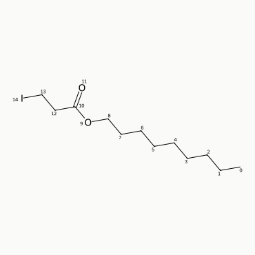 CCCCCCCCCOC(=O)CCI